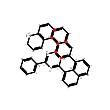 C1=Cc2c(cccc2-c2ccc(-c3cccc4cccc(-c5nc(-c6ccccc6)nc(-c6ccccc6)n5)c34)cc2)NC1